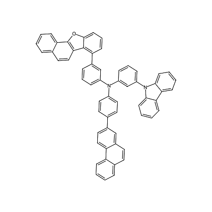 c1cc(-c2cccc3oc4c5ccccc5ccc4c23)cc(N(c2ccc(-c3ccc4c(ccc5ccccc54)c3)cc2)c2cccc(-n3c4ccccc4c4ccccc43)c2)c1